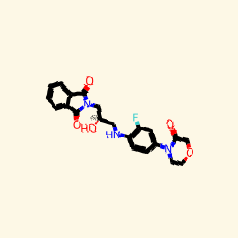 O=C1c2ccccc2C(=O)N1C[C@@H](O)CNc1ccc(N2CCOCC2=O)cc1F